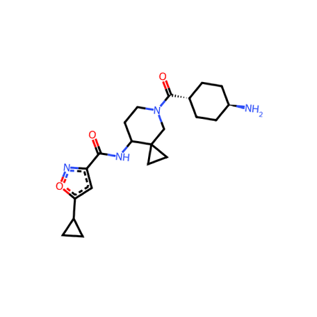 N[C@H]1CC[C@H](C(=O)N2CCC(NC(=O)c3cc(C4CC4)on3)C3(CC3)C2)CC1